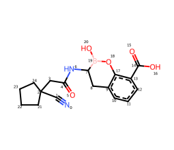 N#CC1(CC(=O)NC2Cc3cccc(C(=O)O)c3OB2O)CCCC1